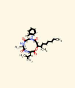 CCCCCCC(C)C1CC(=O)N[C@@H](Cc2ccccc2)C(=O)N[C@@H](C)C(=O)N[C@H](CC(C)C)C(=O)O1